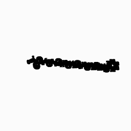 C=CC(=O)OCCOCCOCCOCCOCCOCCOCCOc1ccccc1